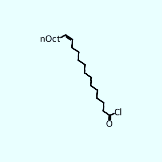 CCCCCCCC/C=C\CCCCCCCCCCCC(=O)Cl